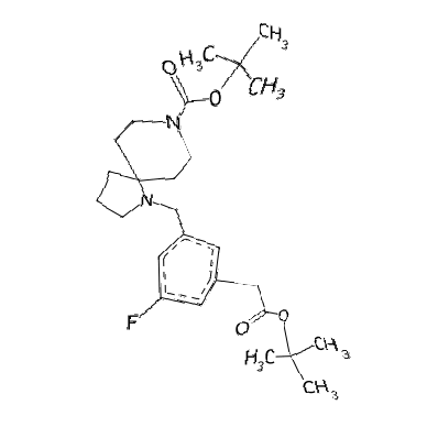 CC(C)(C)OC(=O)Cc1cc(F)cc(CN2CCCC23CCN(C(=O)OC(C)(C)C)CC3)c1